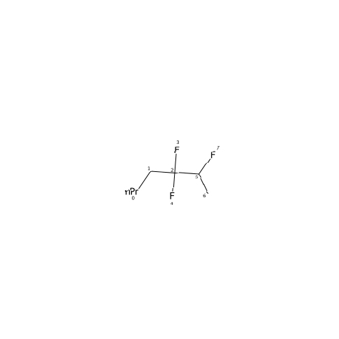 CCCCC(F)(F)C(C)F